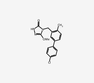 COc1n[nH]c(=O)n1Cc1cc(-c2ccc(Cl)cc2)ccc1C